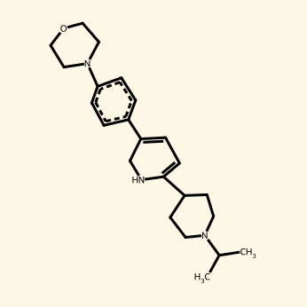 CC(C)N1CCC(C2=CC=C(c3ccc(N4CCOCC4)cc3)CN2)CC1